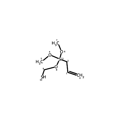 C=CC[Si](OC)(OC)OCS